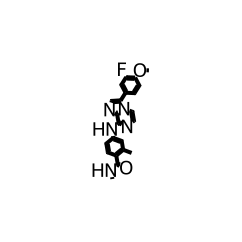 CNC(=O)c1ccc(Nc2nccn3c(-c4ccc(OC)c(F)c4)cnc23)cc1C